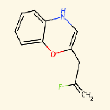 C=C(F)CC1=CNc2ccccc2O1